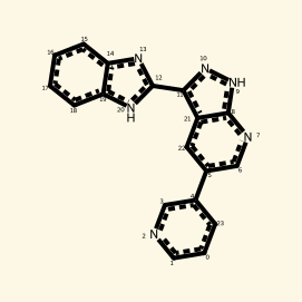 c1cncc(-c2cnc3[nH]nc(-c4nc5ccccc5[nH]4)c3c2)c1